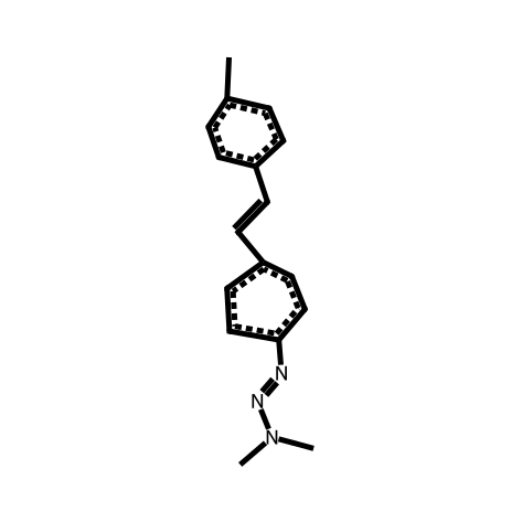 Cc1ccc(C=Cc2ccc(N=NN(C)C)cc2)cc1